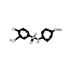 COc1ccc(NS(=O)(=O)c2ccc(Cl)c(N)c2)cc1